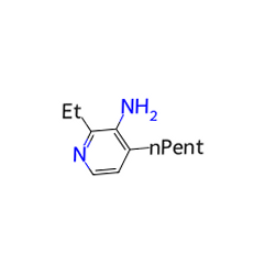 CCCCCc1ccnc(CC)c1N